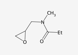 CCC(=O)N(C)CC1CO1